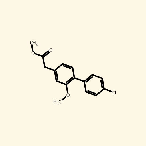 COC(=O)Cc1ccc(-c2ccc(Cl)cc2)c(OC)c1